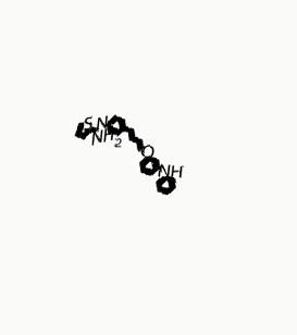 N/C(=N\c1ccc(CCCCOc2cccc(Nc3ccccc3)c2)cc1)c1cccs1